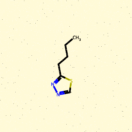 CCCCc1nn[c]s1